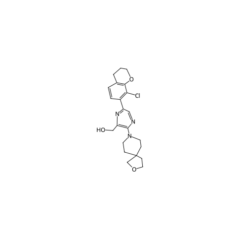 OCc1nc(-c2ccc3c(c2Cl)OCCC3)cnc1N1CCC2(CCOC2)CC1